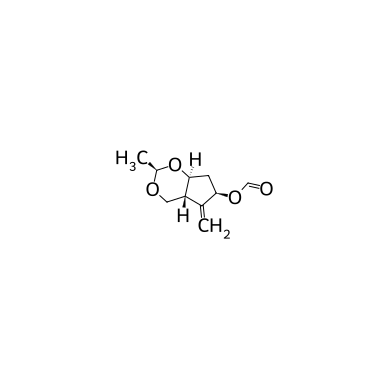 C=C1[C@H](OC=O)C[C@@H]2O[C@H](C)OC[C@@H]12